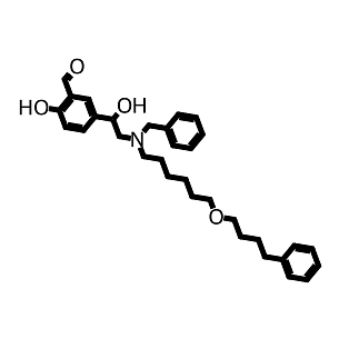 O=Cc1cc(C(O)CN(CCCCCCOCCCCc2ccccc2)Cc2ccccc2)ccc1O